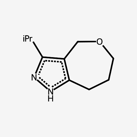 CC(C)c1n[nH]c2c1COCCC2